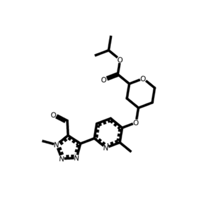 Cc1nc(-c2nnn(C)c2C=O)ccc1OC1CCOC(C(=O)OC(C)C)C1